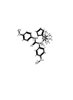 CCOc1ccc(NC(=S)Nc2ccc(OCC)cc2)cc1.[CH3][Ru]([CH3])([CH3])([CH3])([CH3])[C]1=CC=CC1